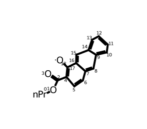 CCCOC(=O)c1ccc2cc3ccccc3cc2c1[O]